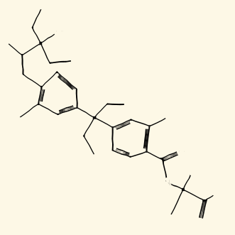 CCC(CC)(c1ccc(CC(C)C(O)(CC)CC)c(C)c1)c1ccc(C(=O)NC(C)(C)C(=O)O)c(C)c1